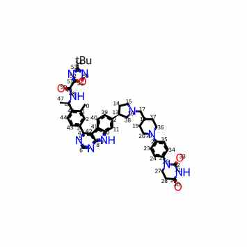 Cc1cc(-c2ncnc3[nH]c4cc([C@H]5CCN(CC6CCN(c7ccc(N8CCC(=O)NC8=O)cc7)CC6)C5)ccc4c23)ccc1[C@@H](C)NC(=O)c1nc(C(C)(C)C)no1